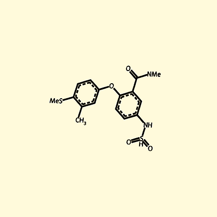 CNC(=O)c1cc(N[SH](=O)=O)ccc1Oc1ccc(SC)c(C)c1